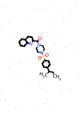 CCC(C)c1ccc(S(=O)(=O)N2CCN(C(=O)c3ccc4ccccc4n3)CC2)cc1